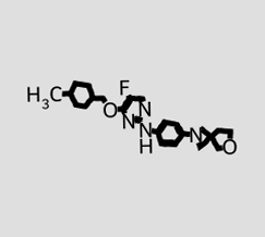 CC1CCC(COc2nc(Nc3ccc(N4CC5(CCOC5)C4)cc3)ncc2F)CC1